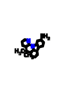 Bc1ccc2c3cccc4c3n(c2c1)-c1ncccc1C4(C)C